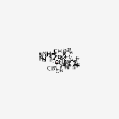 Cc1cc(-c2nnn[nH]2)cc(C)c1OCC(C1CCCCC1)n1c(-c2ccc(Cl)cc2)nc2cc(F)c(F)cc21